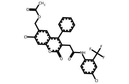 CC(=O)OCc1cc2c(-c3ccccc3)c(CC(=O)Nc3ccc(Cl)cc3C(F)(F)F)c(=O)oc2cc1Cl